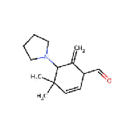 C=C1C(C=O)C=CC(C)(C)C1N1CCCC1